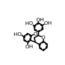 Oc1cc(O)c2c(c1)OC1(c3cc(O)c(O)c(O)c3)CC2c2ccccc2O1